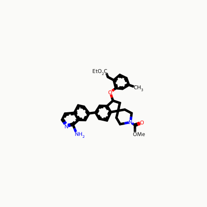 CCOC(=O)Cc1ccc(C)cc1OC1CC2(CCN(C(=O)OC)CC2)c2ccc(-c3ccc4ccnc(N)c4c3)cc21